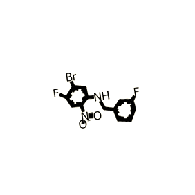 O=[N+]([O-])c1cc(F)c(Br)cc1NCc1cccc(F)c1